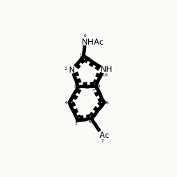 CC(=O)Nc1nc2ccc(C(C)=O)cc2[nH]1